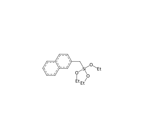 CCO[Si](Cc1ccc2ccccc2c1)(OCC)OCC